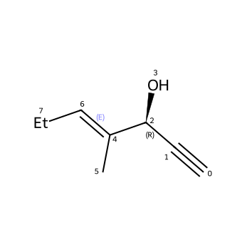 C#C[C@H](O)/C(C)=C/CC